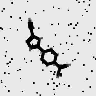 N#Cc1cnc(N2CCN(C(=O)O)CC2)s1